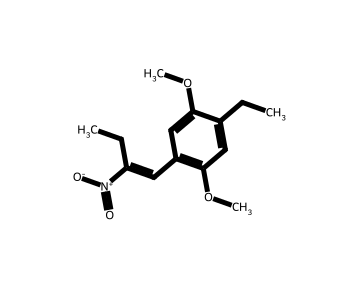 CC/C(=C\c1cc(OC)c(CC)cc1OC)[N+](=O)[O-]